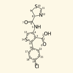 O=C(O)c1c(NC(=O)C2CSC=N2)csc1-c1ccc(Cl)cc1